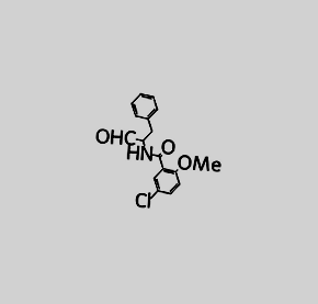 COc1ccc(Cl)cc1C(=O)NC(C=O)Cc1ccccc1